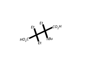 CCCCC(CC)(C(=O)O)C(CC)(CC)C(=O)O